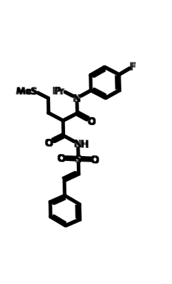 CSCCC(C(=O)NS(=O)(=O)C=Cc1ccccc1)C(=O)N(c1ccc(F)cc1)C(C)C